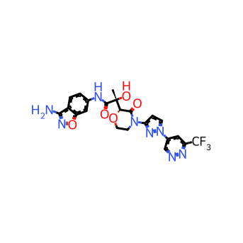 C[C@](O)(C(=O)Nc1ccc2c(N)noc2c1)[C@H]1OCCN(c2ccn(-c3cnnc(C(F)(F)F)c3)n2)C1=O